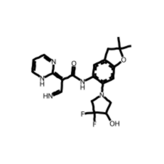 CC1(C)Cc2cc(NC(=O)/C(C=N)=C3\N=CC=CN3)c(N3CC(O)C(F)(F)C3)cc2O1